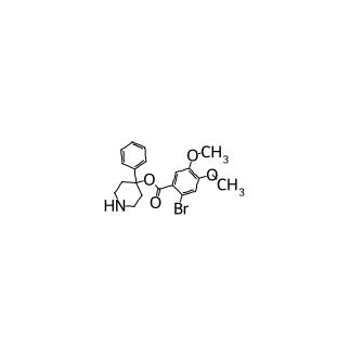 COc1cc(Br)c(C(=O)OC2(c3ccccc3)CCNCC2)cc1OC